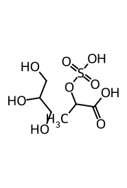 CC(OS(=O)(=O)O)C(=O)O.OCC(O)CO